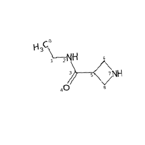 CCNC(=O)C1CNC1